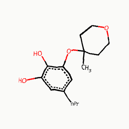 CCCc1cc(O)c(O)c(OC2(C)CCOCC2)c1